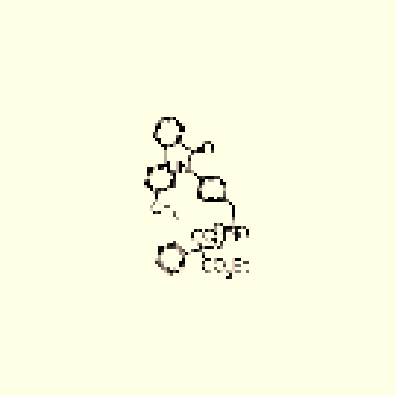 CCOC(=O)C(COC(=O)Cc1ccc(NC(=O)c2ccccc2-c2ccc(C(F)(F)F)cc2)cc1)(C(=O)OCC)c1ccccc1